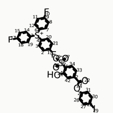 Fc1ccc([S+](c2ccc(F)cc2)c2ccc(F)cc2)cc1.O=C(Oc1ccc(I)cc1)c1ccc(S(=O)(=O)[O-])c(O)c1